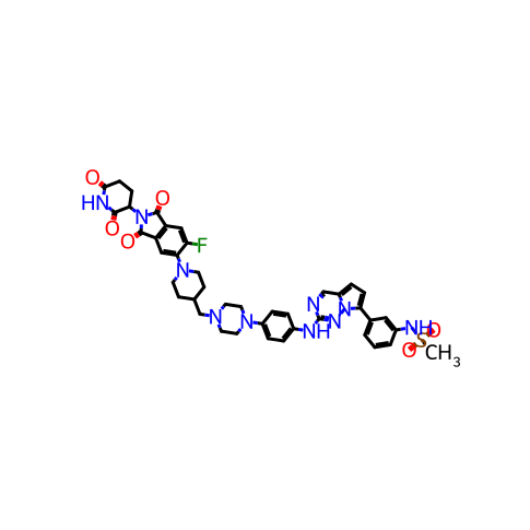 CS(=O)(=O)Nc1cccc(-c2ccc3cnc(Nc4ccc(N5CCN(CC6CCN(c7cc8c(cc7F)C(=O)N(C7CCC(=O)NC7=O)C8=O)CC6)CC5)cc4)nn23)c1